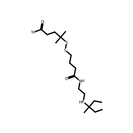 [2H]C(=O)CCC(C)(C)SSCCCC(=O)NCCPC(C)(CC)CC